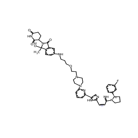 CC1(O)c2ccc(NCCCOCCN3CCN(c4cccc(-c5cnc(/C=C\C(=N)N6CCC[C@@H]6c6cccc(F)c6)[nH]5)n4)CC3)cc2C(=O)N1C1CCC(=O)NC1=O